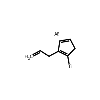 C=CCC1=[C]([Ti])CC=C1.[Al]